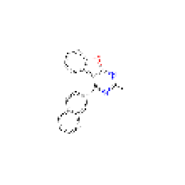 Cc1nc(-c2ccc3ccccc3c2)c2c(n1)oc1ccccc12